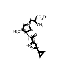 CCOC(=O)C(C)CN1C[C@@H](C)[C@H](NC(=O)c2cc(C3CC3)on2)C1